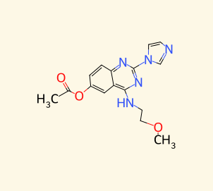 COCCNc1nc(-n2ccnc2)nc2ccc(OC(C)=O)cc12